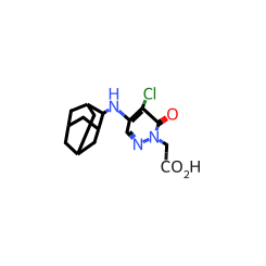 O=C(O)Cn1ncc(NC2C3CC4CC(C3)CC2C4)c(Cl)c1=O